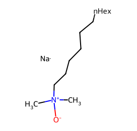 CCCCCCCCCCCC[N+](C)(C)[O-].[Na]